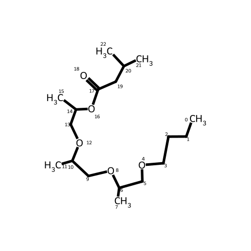 CCCCOCC(C)OCC(C)OCC(C)OC(=O)CC(C)C